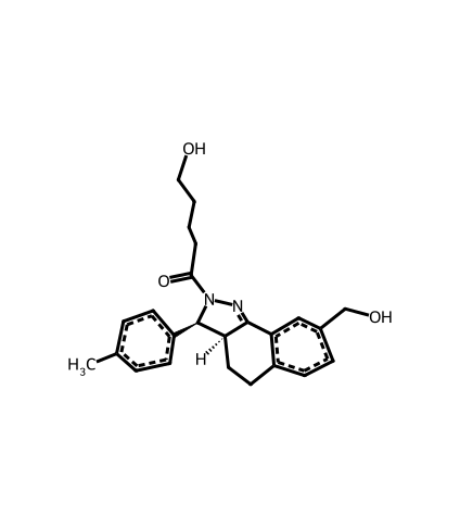 Cc1ccc([C@@H]2[C@@H]3CCc4ccc(CO)cc4C3=NN2C(=O)CCCCO)cc1